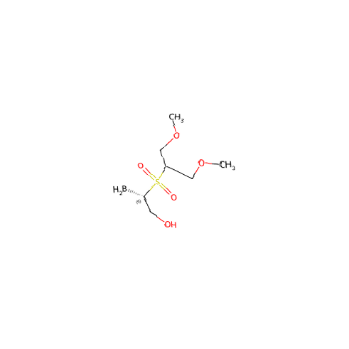 B[C@@H](CO)S(=O)(=O)C(COC)COC